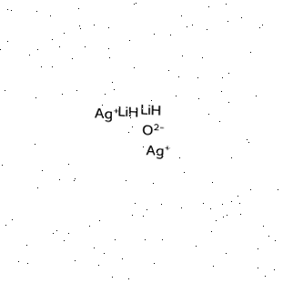 [Ag+].[Ag+].[LiH].[LiH].[O-2]